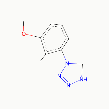 COc1cccc(N2CNN=N2)c1C